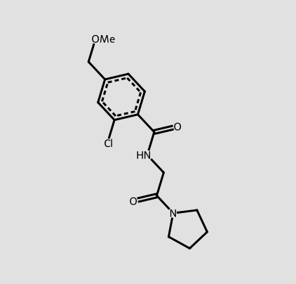 COCc1ccc(C(=O)NCC(=O)N2CCCC2)c(Cl)c1